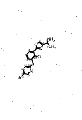 C=C(N)c1coc(-c2cccc(Sc3cnc(Br)cn3)c2Cl)n1